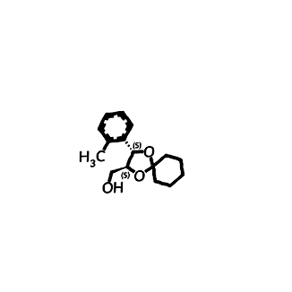 Cc1ccccc1[C@@H]1OC2(CCCCC2)O[C@H]1CO